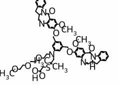 COCCOCCOCCN(CC(C)(C)SCC(=O)O)c1cc(COc2cc3c(cc2OC)C(=O)N2c4ccccc4CC2C=N3)cc(COc2cc3c(cc2OC)C(=O)N2c4ccccc4C[C@H]2C=N3)c1